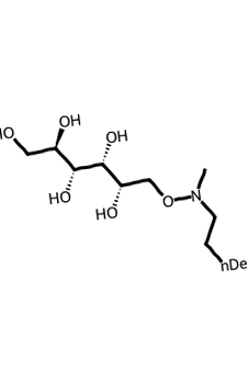 CCCCCCCCCCCCN(C)OC[C@H](O)[C@@H](O)[C@H](O)[C@H](O)CO